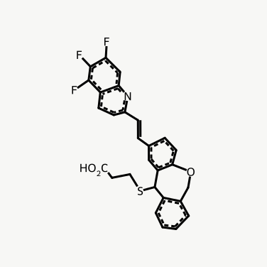 O=C(O)CCSC1c2ccccc2COc2ccc(/C=C/c3ccc4c(F)c(F)c(F)cc4n3)cc21